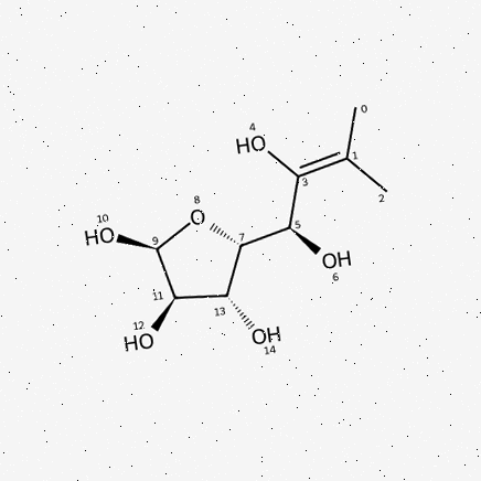 CC(C)=C(O)[C@@H](O)[C@H]1O[C@H](O)[C@H](O)[C@H]1O